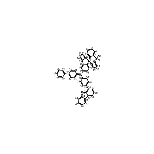 CC1(C)c2ccccc2C2(c3ccccc3-c3cc(N(c4ccc(-c5ccccc5)cc4)c4ccc(-c5cccc6c5sc5ccccc56)cc4)ccc32)c2ccccc21